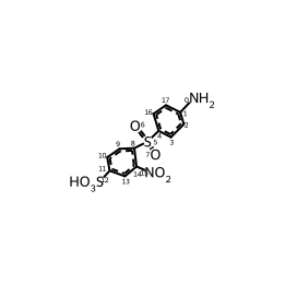 Nc1ccc(S(=O)(=O)c2ccc(S(=O)(=O)O)cc2[N+](=O)[O-])cc1